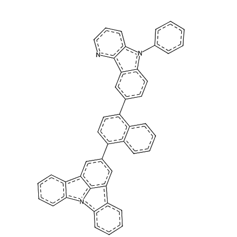 c1ccc(-n2c3ccc(-c4ccc(-c5cc6c7ccccc7n7c8ccccc8c(c5)c67)c5ccccc45)cc3c3ncccc32)cc1